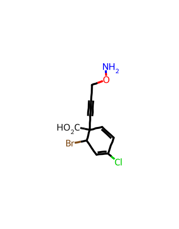 NOCC#CC1(C(=O)O)C=CC(Cl)=CC1Br